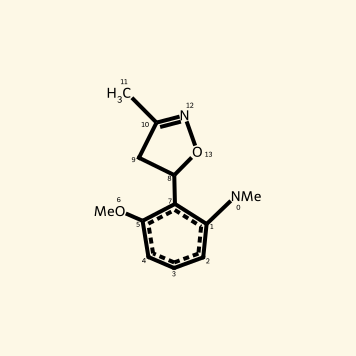 CNc1cccc(OC)c1C1CC(C)=NO1